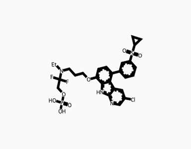 CCN(CCCOc1ccc(-c2cccc(S(=O)(=O)C3CC3)c2)c2c1[nH]c1ncc(Cl)cc12)C(F)(F)COP(=O)(O)O